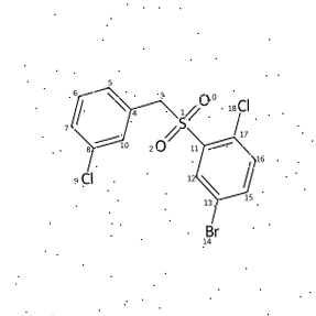 O=S(=O)(Cc1cccc(Cl)c1)c1cc(Br)ccc1Cl